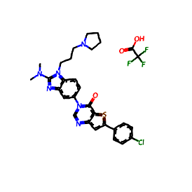 CN(C)c1nc2cc(-n3cnc4cc(-c5ccc(Cl)cc5)sc4c3=O)ccc2n1CCCN1CCCC1.O=C(O)C(F)(F)F